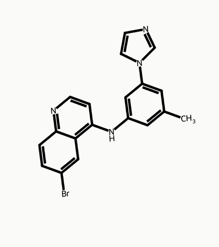 Cc1cc(Nc2ccnc3ccc(Br)cc23)cc(-n2ccnc2)c1